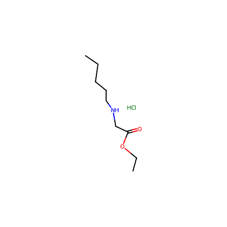 CCCCCNCC(=O)OCC.Cl